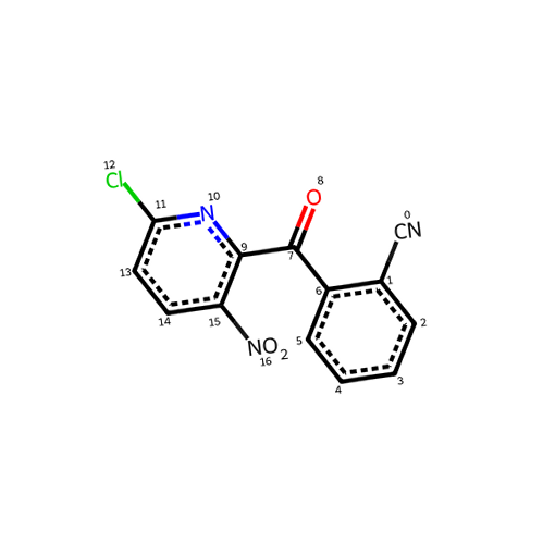 N#Cc1ccccc1C(=O)c1nc(Cl)ccc1[N+](=O)[O-]